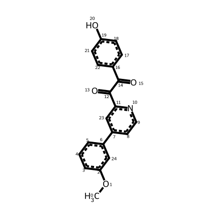 COc1cccc(-c2ccnc(C(=O)C(=O)c3ccc(O)cc3)c2)c1